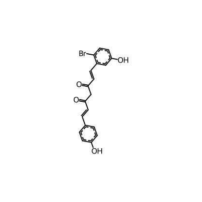 O=C(C=Cc1ccc(O)cc1)CC(=O)C=Cc1cc(O)ccc1Br